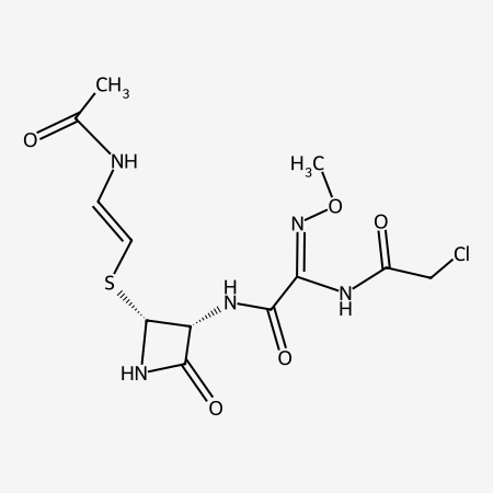 CON=C(NC(=O)CCl)C(=O)N[C@@H]1C(=O)N[C@@H]1SC=CNC(C)=O